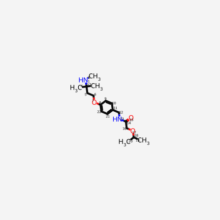 CNC(C)(C)CCOc1ccc(CNC(=O)COC(C)C)cc1